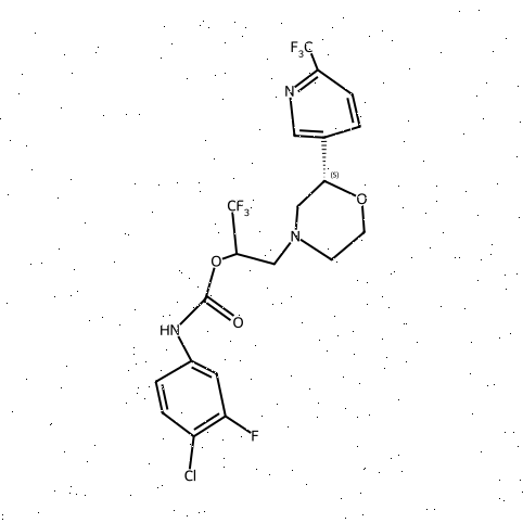 O=C(Nc1ccc(Cl)c(F)c1)OC(CN1CCO[C@@H](c2ccc(C(F)(F)F)nc2)C1)C(F)(F)F